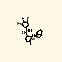 Cc1ccc(C(=O)Nc2cc(F)c(F)c(F)c2)cc1S[C@@H]1CC2CC[C@@H](C1)[C@]2(C)O